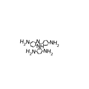 Nc1ccc(-c2nc3cc(N)ccc3[nH]2)cc1.Nc1ccc(N)cc1